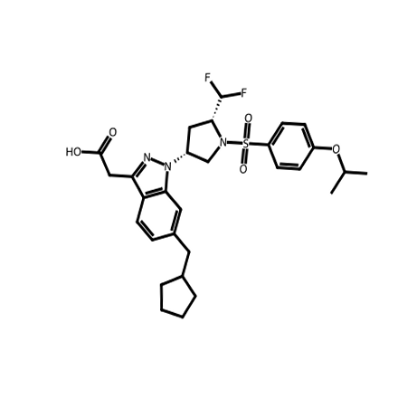 CC(C)Oc1ccc(S(=O)(=O)N2C[C@H](n3nc(CC(=O)O)c4ccc(CC5CCCC5)cc43)C[C@@H]2C(F)F)cc1